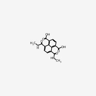 CNC(=O)c1ccc(C(=O)NC)c2c(C(=O)O)ccc(C(=O)O)c12